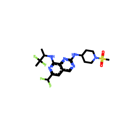 CC(Nc1nc(C(F)F)cc2cnc(NC3CCN(S(C)(=O)=O)CC3)nc12)C(C)(F)F